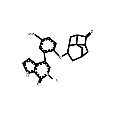 CSc1ccc(OC23CC4CC5C(=O)C(C2)C5(C4)C3)c(-c2cn(C)c(=O)c3[nH]ccc23)c1